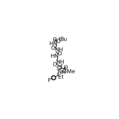 CCC(CNc1sc(C(=O)NCCNC(=O)CNC(=O)CNC(=O)OC(C)(C)C)c(C)c1C(=O)OC)c1ccc(F)cc1